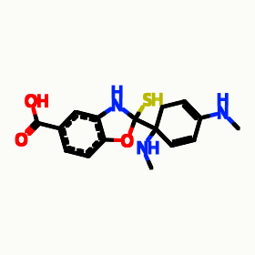 CNC1=CCC(NC)(C2(S)Nc3cc(C(=O)O)ccc3O2)C=C1